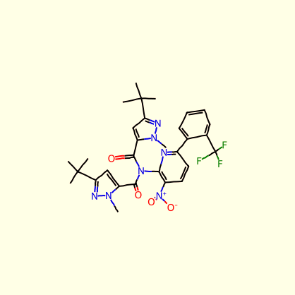 Cn1nc(C(C)(C)C)cc1C(=O)N(C(=O)c1cc(C(C)(C)C)nn1C)c1nc(-c2ccccc2C(F)(F)F)ccc1[N+](=O)[O-]